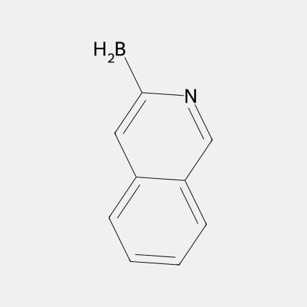 Bc1cc2ccccc2cn1